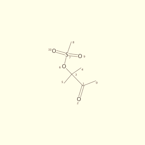 CC(=O)C(C)(C)OS(C)(=O)=O